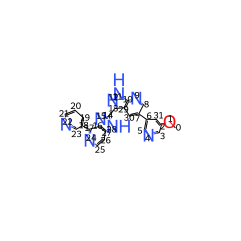 COc1cncc(-c2cnc3[nH]nc(-c4nc5c(-c6cccnc6)nccc5[nH]4)c3c2)c1